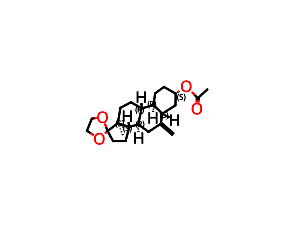 C=C1C[C@@H]2[C@H](CC[C@@]3(C)[C@H]2CCC32OCCO2)[C@H]2CC[C@H](OC(C)=O)C[C@H]12